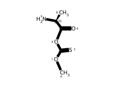 COC(=S)OC(=O)[C@H](C)N